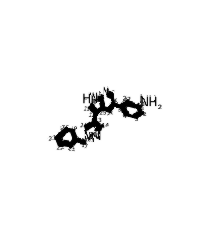 Nc1cccc(-c2cnc3[nH]cc(-c4cnn(Cc5ccccc5)c4)c3c2)c1